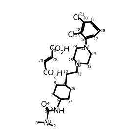 CN(C)C(=O)NC1CCC(CCN2CCN(c3cccc(Cl)c3Cl)CC2)CC1.O=C(O)C=CC(=O)O